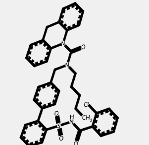 CCCCCN(Cc1ccc(-c2ccccc2S(=O)(=O)NC(=O)c2ccccc2Cl)cc1)C(=O)N1c2ccccc2Cc2ccccc21